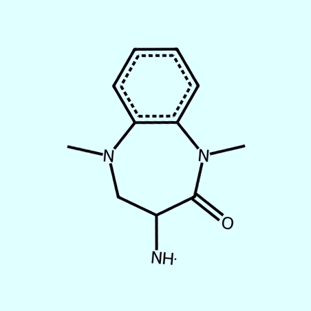 CN1CC([NH])C(=O)N(C)c2ccccc21